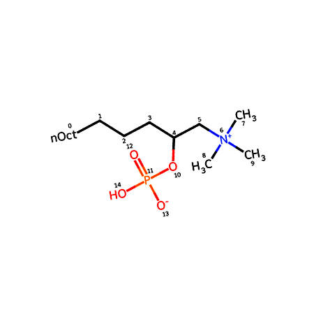 CCCCCCCCCCCC(C[N+](C)(C)C)OP(=O)([O-])O